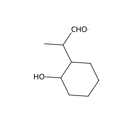 CC([C]=O)C1CCCCC1O